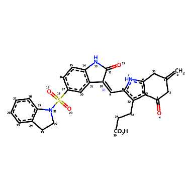 C=C1CC(=O)c2c([nH]c(/C=C3\C(=O)Nc4ccc(S(=O)(=O)N5CCc6ccccc65)cc43)c2CCC(=O)O)C1